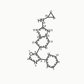 c1ccc(-c2ncoc2-c2ccc3nc(NC4CC4)sc3c2)cc1